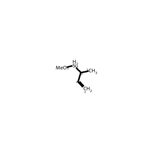 C=CC(C)[SiH2]OC